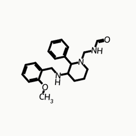 COc1ccccc1CNC1CCCN(CNC=O)C1c1ccccc1